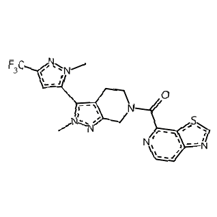 Cn1nc(C(F)(F)F)cc1-c1c2c(nn1C)CN(C(=O)c1nccc3ncsc13)CC2